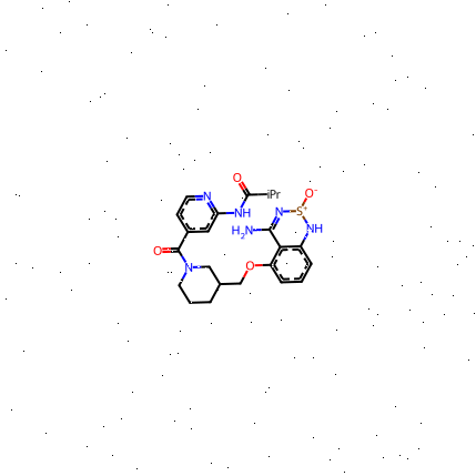 CC(C)C(=O)Nc1cc(C(=O)N2CCCC(COc3cccc4c3C(N)=N[S+]([O-])N4)C2)ccn1